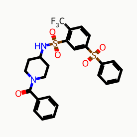 O=C(c1ccccc1)N1CCC(NS(=O)(=O)c2cc(S(=O)(=O)c3ccccc3)ccc2C(F)(F)F)CC1